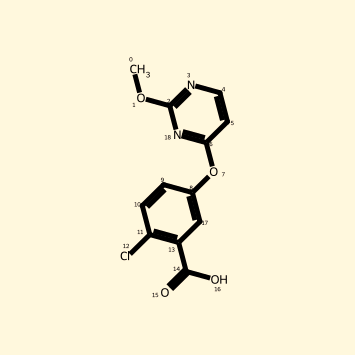 COc1nccc(Oc2ccc(Cl)c(C(=O)O)c2)n1